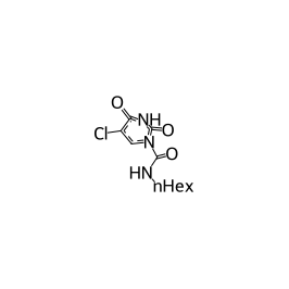 CCCCCCNC(=O)n1cc(Cl)c(=O)[nH]c1=O